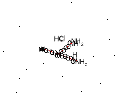 Cl.Cl.[N-]=[N+]=NCCOCCOCCOCCOCCC(=O)N(CCOCCOCCOCCOCCC(=O)NCCN)CCOCCOCCOCCOCCC(=O)NCCN